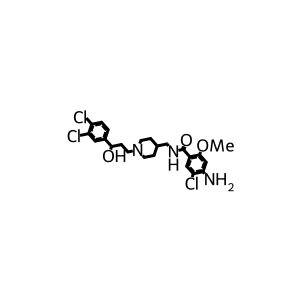 COc1cc(N)c(Cl)cc1C(=O)NCC1CCN(CCC(O)c2ccc(Cl)c(Cl)c2)CC1